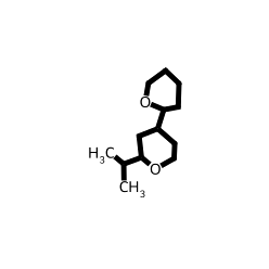 CC(C)C1CC(C2CCCCO2)CCO1